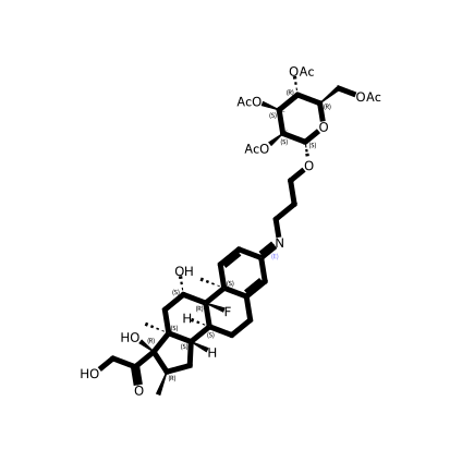 CC(=O)OC[C@H]1O[C@H](OCCC/N=C2\C=C[C@@]3(C)C(=C2)CC[C@H]2[C@@H]4C[C@@H](C)[C@](O)(C(=O)CO)[C@@]4(C)C[C@H](O)[C@@]23F)[C@@H](OC(C)=O)[C@@H](OC(C)=O)[C@@H]1OC(C)=O